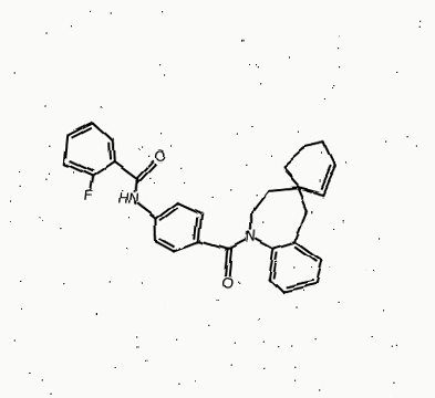 O=C(Nc1ccc(C(=O)N2CCC3(C=CCCC3)Cc3ccccc32)cc1)c1ccccc1F